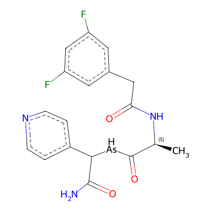 C[C@H](NC(=O)Cc1cc(F)cc(F)c1)C(=O)[AsH]C(C(N)=O)c1ccncc1